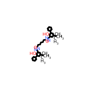 CC(C)(C)c1cc(-c2ccccc2)c(O)c(-c2noc(CCCCCc3nc(-c4cc(C(C)(C)C)cc(-c5ccccc5)c4O)no3)n2)c1